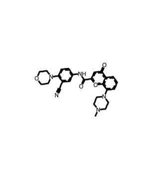 CN1CCN(c2cccc3c(=O)cc(C(=O)Nc4ccc(N5CCOCC5)c(C#N)c4)oc23)CC1